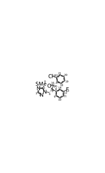 CSc1ncnn1C[C@]1(c2cccc(F)c2)O[C@@H]1c1ccccc1Cl